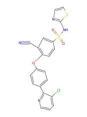 N#Cc1cc(S(=O)(=O)Nc2nccs2)ccc1Oc1ccc(-c2ncccc2Cl)cc1